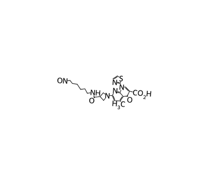 Cc1cc(N2CC(C(=O)NCCCCCCN=O)C2)nc2c1c(=O)c(C(=O)O)cn2-c1nccs1